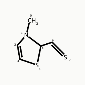 CN1C=CSC1C=S